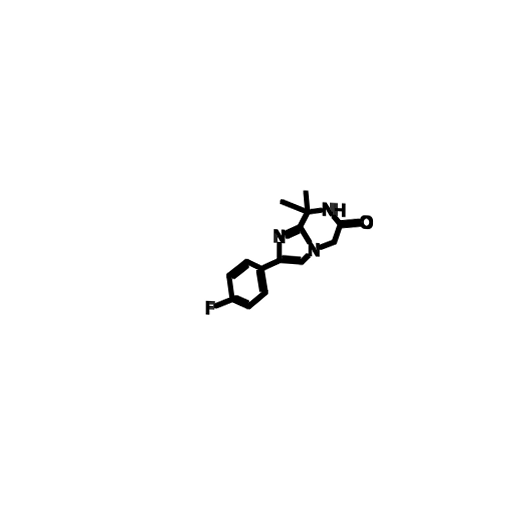 CC1(C)NC(=O)Cn2cc(-c3ccc(F)cc3)nc21